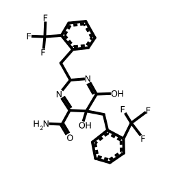 NC(=O)C1=NC(Cc2ccccc2C(F)(F)F)N=C(O)C1(O)Cc1ccccc1C(F)(F)F